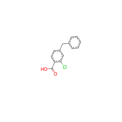 O=C(O)c1ccc(Cc2ccccc2)cc1Cl